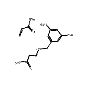 C=CC(=O)NC.CNC(=O)CCNCc1cc(OC)cc(OC)c1